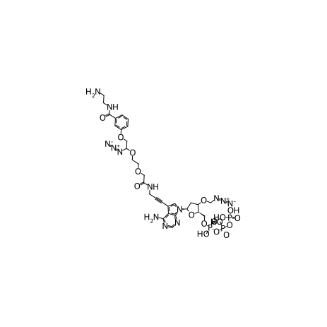 [N-]=[N+]=NCOC1C[C@H](n2cc(C#CCNC(=O)COCCOC(COc3cccc(C(=O)NCCN)c3)N=[N+]=[N-])c3c(N)ncnc32)O[C@@H]1COP(=O)(O)OP(=O)(O)OP(=O)(O)O